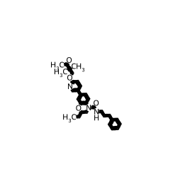 CCC1CN(C(=O)NCCCc2ccccc2)c2ccc(-c3ccc(OCC(C)(C)C(C)=O)nc3)cc2O1